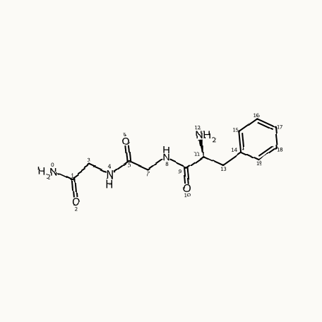 NC(=O)CNC(=O)CNC(=O)[C@@H](N)Cc1ccccc1